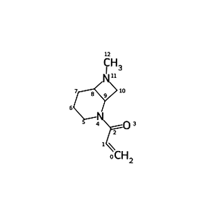 C=CC(=O)N1CCCC2C1CN2C